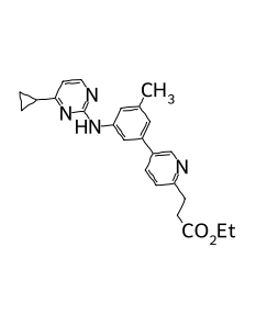 CCOC(=O)CCc1ccc(-c2cc(C)cc(Nc3nccc(C4CC4)n3)c2)cn1